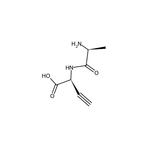 C#C[C@H](NC(=O)[C@H](C)N)C(=O)O